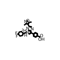 [2H]C([2H])(C1CCC(F)(F)CC1)n1cc(-c2ccc(C(=O)O)cc2)c2ncc(-c3c(C)noc3C)nc21